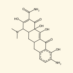 CN(C)C1C(O)=C(C(N)=O)C(=O)C2(O)C(O)=C3C(=O)c4c(ccc(N)c4O)CC3CC12